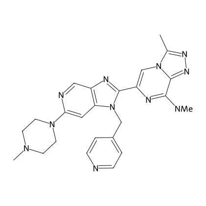 CNc1nc(-c2nc3cnc(N4CCN(C)CC4)cc3n2Cc2ccncc2)cn2c(C)nnc12